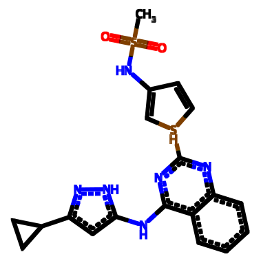 CS(=O)(=O)NC1=C[SH](c2nc(Nc3cc(C4CC4)n[nH]3)c3ccccc3n2)C=C1